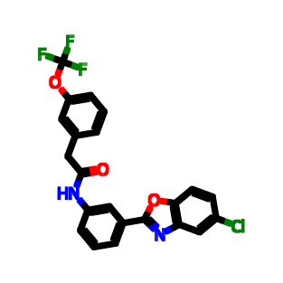 O=C(Cc1cccc(OC(F)(F)F)c1)Nc1cccc(-c2nc3cc(Cl)ccc3o2)c1